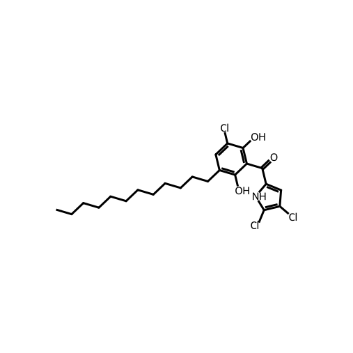 CCCCCCCCCCCCc1cc(Cl)c(O)c(C(=O)c2cc(Cl)c(Cl)[nH]2)c1O